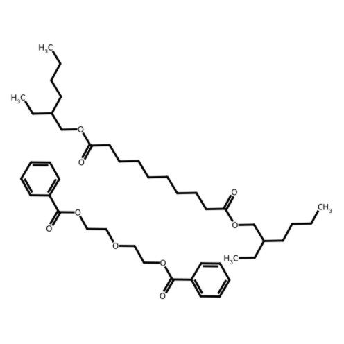 CCCCC(CC)COC(=O)CCCCCCCCC(=O)OCC(CC)CCCC.O=C(OCCOCCOC(=O)c1ccccc1)c1ccccc1